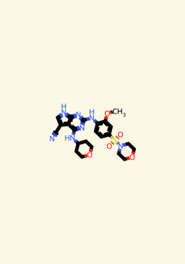 COc1cc(S(=O)(=O)N2CCOCC2)ccc1Nc1nc(NC2CCOCC2)c2c(C#N)c[nH]c2n1